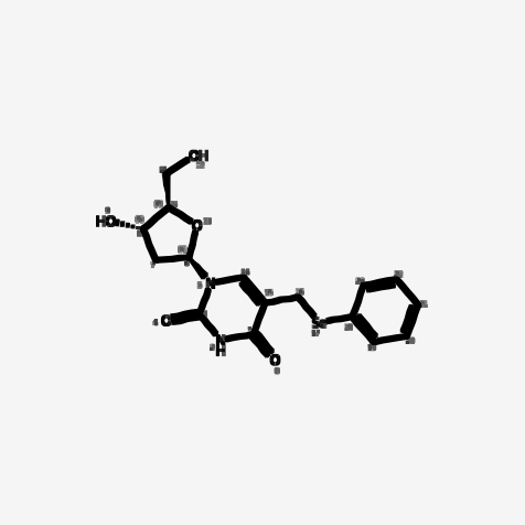 O=c1[nH]c(=O)n([C@H]2C[C@H](O)[C@@H](CO)O2)cc1C[Se]c1ccccc1